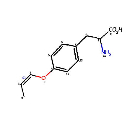 C/C=C\Oc1ccc(CC(N)C(=O)O)cc1